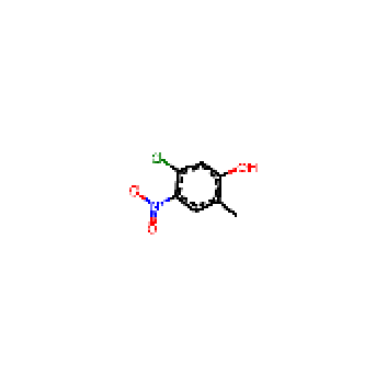 Cc1cc([N+](=O)[O-])c(Cl)cc1O